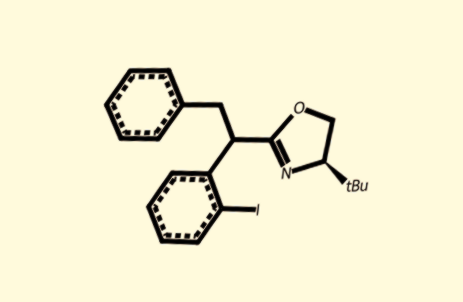 CC(C)(C)[C@@H]1COC(C(Cc2ccccc2)c2ccccc2I)=N1